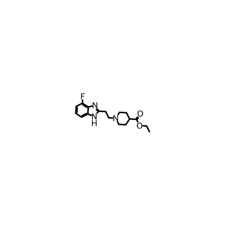 CCOC(=O)C1CCN(CCc2nc3c(F)cccc3[nH]2)CC1